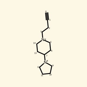 C#CCCN1CCC(N2CCCC2)CC1